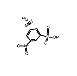 Cl.N#N.O=[N+]([O-])c1cccc(S(=O)(=O)O)c1